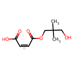 CC(C)(CO)COC(=O)/C=C\C(=O)O